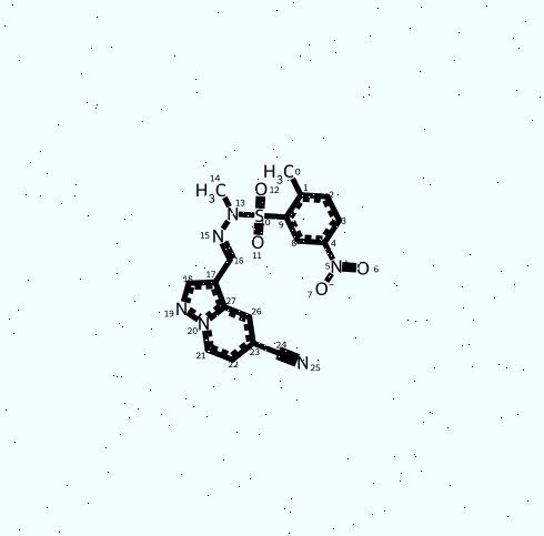 Cc1ccc([N+](=O)[O-])cc1S(=O)(=O)N(C)N=Cc1cnn2ccc(C#N)cc12